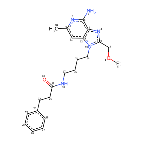 CCOCc1nc2c(N)nc(C)cc2n1CCCCNC(=O)CCc1ccccc1